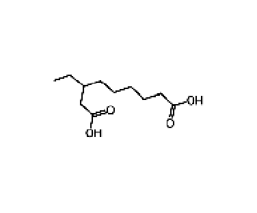 CCC(CCCCCC(=O)O)CC(=O)O